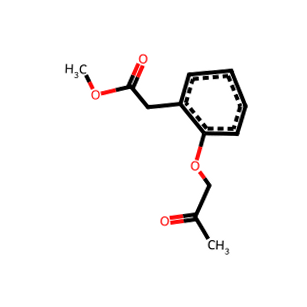 COC(=O)Cc1ccccc1OCC(C)=O